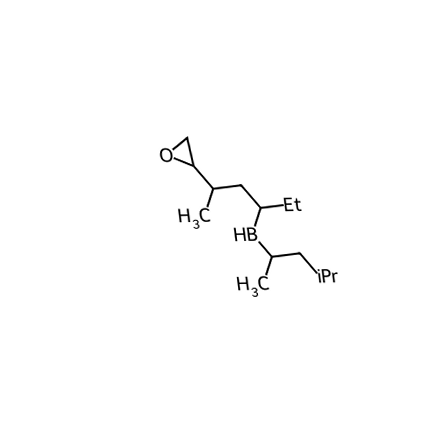 CCC(BC(C)CC(C)C)CC(C)C1CO1